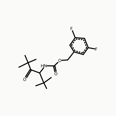 CC(C)(C)C(=O)C(NC(=O)OCc1cc(F)cc(F)c1)C(C)(C)C